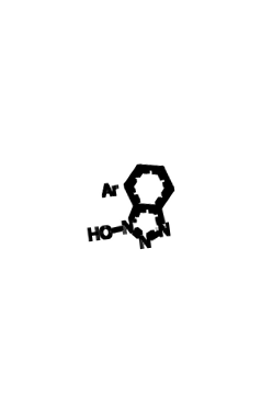 On1nnc2ccccc21.[Ar]